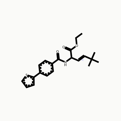 CCOC(=O)C(/C=C/C(C)(C)C)NC(=O)c1ccc(-c2cccs2)cc1